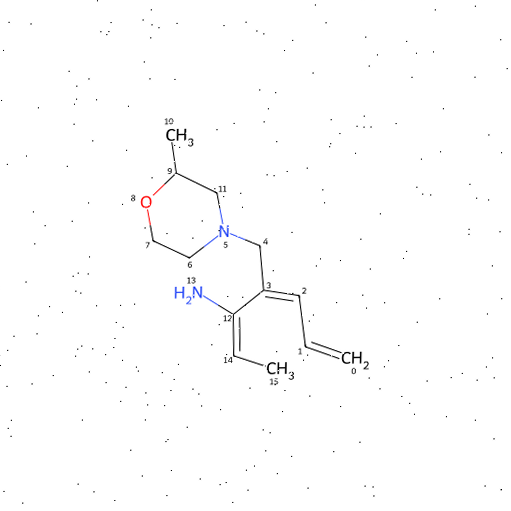 C=C/C=C(CN1CCOC(C)C1)\C(N)=C/C